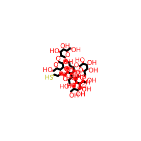 OCC1O[C@@H](OCC2O[C@H](OCCCS)C(O)[C@@H](O[C@@H]3OC(CO)[C@@H](O)[C@H](O)C3O)[C@@H]2O[C@@H]2OC(CO)[C@@H](O)[C@H](O)C2O)[C@@H](O[C@@H]2OC(CO)[C@@H](O[C@@H]3OC(CO)[C@H](O[C@H]4OC(CO)[C@H](O)[C@H](O)C4O)[C@H](O)C3O)[C@H](O)C2O)C(O)[C@@H]1O